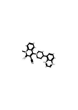 Cn1c(=O)c(C#N)c(N2CCC(c3cccc4nccnc34)CC2)c2ccccc21